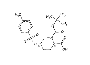 Cc1ccc(S(=O)(=O)O[C@H]2CC[C@@H](C(=O)O)N(C(=O)OC(C)(C)C)C2)cc1